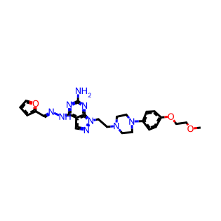 COCCOc1ccc(N2CCN(CCn3ncc4c(NN=Cc5ccco5)nc(N)nc43)CC2)cc1